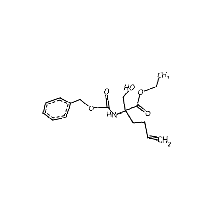 C=CCCC(CO)(NC(=O)OCc1ccccc1)C(=O)OCC